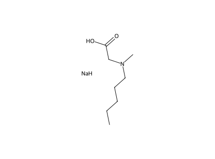 CCCCCN(C)CC(=O)O.[NaH]